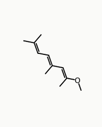 CO/C(C)=C/C(C)=C/C=C(C)C